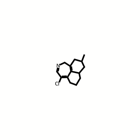 CC1CC2=C3C(=C(Cl)C=NC2)CCCC3C1